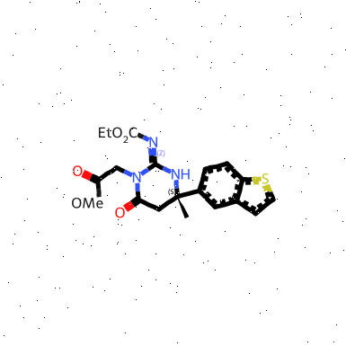 CCOC(=O)/N=C1/N[C@](C)(c2ccc3sccc3c2)CC(=O)N1CC(=O)OC